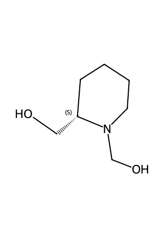 OC[C@@H]1CCCCN1CO